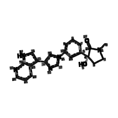 CN1CC[C@@](O)(c2cccc(-n3cnc(-c4c[nH]c5ncccc45)c3)c2)C1=O